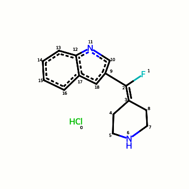 Cl.FC(=C1CCNCC1)c1cnc2ccccc2c1